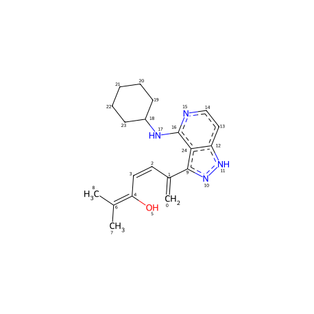 C=C(/C=C\C(O)=C(C)C)c1n[nH]c2ccnc(NC3CCCCC3)c12